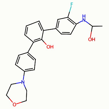 CC(O)Nc1ccc(-c2cccc(-c3ccc(N4CCOCC4)cc3)c2O)cc1F